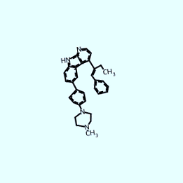 CCC(=Cc1ccccc1)c1ccnc2[nH]c3ccc(-c4ccc(N5CCN(C)CC5)cc4)cc3c12